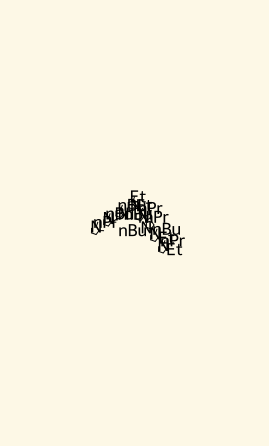 CCC1CCCN1CC.CCCC1CCCN1CCC.CCCCC1CCCN1CCCC.CCCCN1CCCC1.CCCCN1CCCC1C.CCCCN1CCCC1CC.CCCN1CCCC1C.CCCN1CCCC1CC